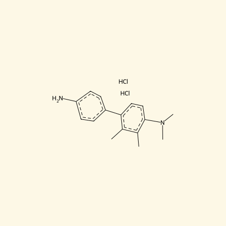 Cc1c(-c2ccc(N)cc2)ccc(N(C)C)c1C.Cl.Cl